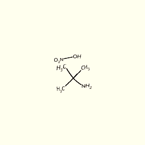 CC(C)(C)N.O=[N+]([O-])O